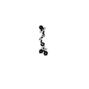 CN(CCN1CCC(OC(=O)NC(c2ccccc2)c2ccccc2)CC1)CC[N+](C)(C)CCCN1C(=O)c2ccccc2C1=O